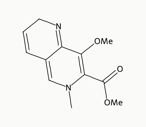 COC(=O)C1=C(OC)C2=NCC=CC2=CN1C